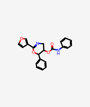 O=C(Nc1ccccc1)OC1CN=C(c2ccoc2)OC1c1ccccc1